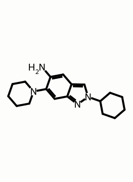 Nc1cc2cn(C3CCCCC3)nc2cc1N1CCCCC1